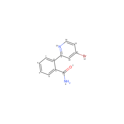 NC(=O)c1ccccc1-c1cc(Br)ccn1